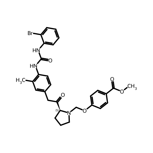 COC(=O)c1ccc(OCN2CCC[C@H]2C(=O)Cc2ccc(NC(=O)Nc3ccccc3Br)c(C)c2)cc1